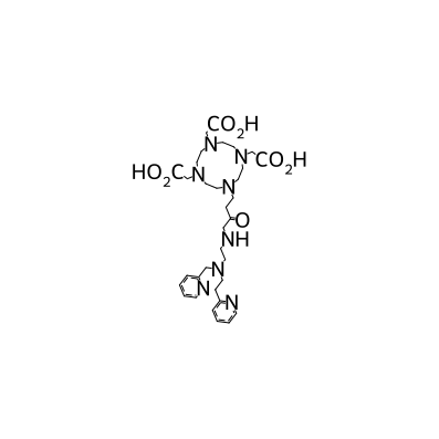 O=C(O)CN1CCN(CCC(=O)CNCCN(CCc2ccccn2)Cc2ccccn2)CCN(CC(=O)O)CCN(CC(=O)O)CC1